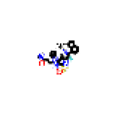 CN(C)C(=O)CCc1nc2c([S+](C)[O-])nc3c(F)c(-c4cccc5c4C(C#N)CC5)ncc3c2n1C1C2CCC1C2